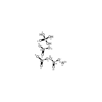 O=P(O)(O)O.O=[N+]([O-])[O-].O=[N+]([O-])[O-].O=[N+]([O-])[O-].[Al+3]